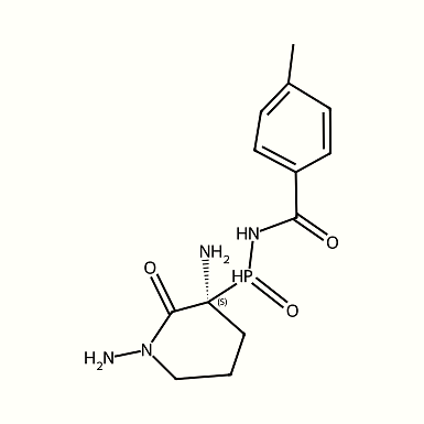 Cc1ccc(C(=O)N[PH](=O)[C@@]2(N)CCCN(N)C2=O)cc1